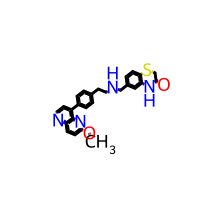 COc1ccc2nccc(-c3ccc(CCNCc4ccc5c(c4)NC(=O)CS5)cc3)c2n1